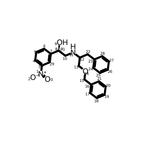 O=[N+]([O-])c1cccc([C@@H](O)CNC(COCc2ccccc2)Cc2ccccc2)c1